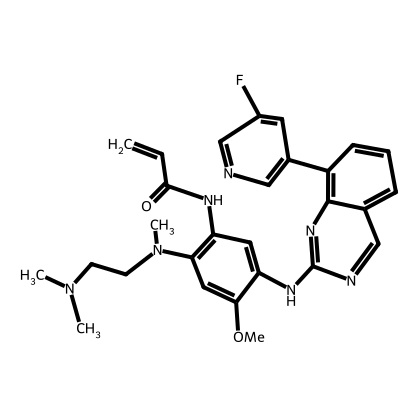 C=CC(=O)Nc1cc(Nc2ncc3cccc(-c4cncc(F)c4)c3n2)c(OC)cc1N(C)CCN(C)C